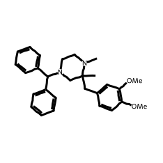 COc1ccc(CC2(C)CN(C(c3ccccc3)c3ccccc3)CCN2C)cc1OC